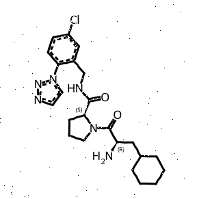 N[C@H](CC1CCCCC1)C(=O)N1CCC[C@H]1C(=O)NCc1cc(Cl)ccc1-n1ccnn1